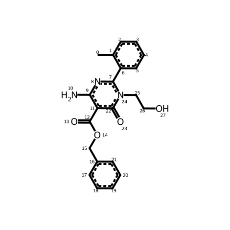 Cc1ccccc1-c1nc(N)c(C(=O)OCc2ccccc2)c(=O)n1CCO